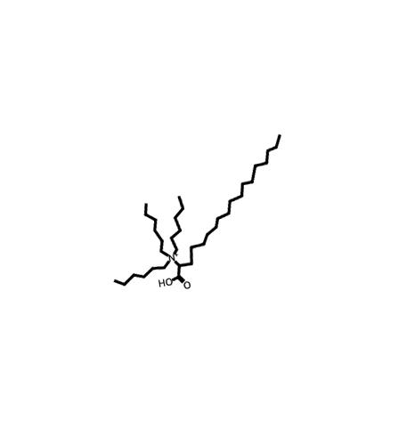 CCCCCCCCCCCCCCCCC(C(=O)O)[N+](CCCCCC)(CCCCCC)CCCCCC